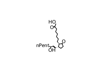 CCCCCC(O)C=C[C@H]1CCC(=O)[C@@H]1CCCCCCC(=O)CO